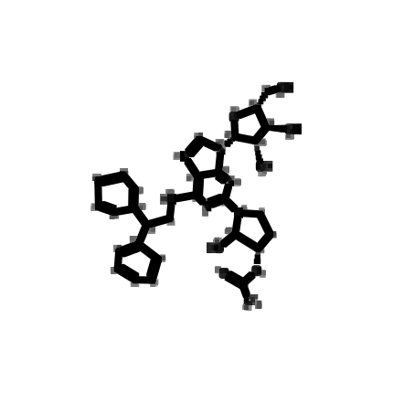 O=C(O[C@H]1CCN(c2nc(NCC(c3ccccc3)c3ccccc3)c3ncn([C@@H]4O[C@H](CO)[C@@H](O)[C@@H]4O)c3n2)C1O)C(F)(F)F